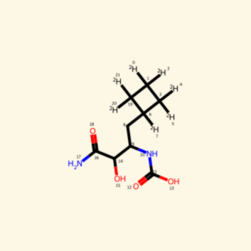 [2H]C1([2H])C([2H])([2H])C([2H])(CC(NC(=O)O)C(O)C(N)=O)C1([2H])[2H]